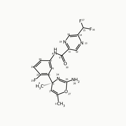 CC1=C[C@@](C)(c2cc(NC(=O)c3cnc(C(F)F)cn3)ccc2F)N=C(N)O1